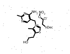 CCCCCCCCCCCCO[N+](=O)[O-].Cc1ncc(C[n+]2csc(CCO)c2C)c(N)n1.[Cl-]